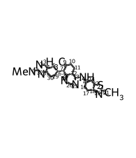 CNc1ncc2cc(-c3c(C)ccc4c(Nc5ccc6nc(C)sc6c5)ncnc34)ccc2n1